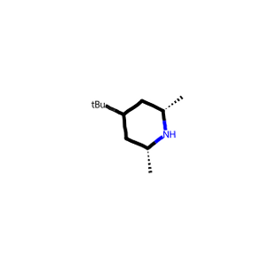 C[C@@H]1CC(C(C)(C)C)C[C@H](C)N1